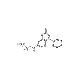 Cc1ccccc1-c1cc(=O)oc2cc(NCC(C)(C)C(=O)O)ccc12